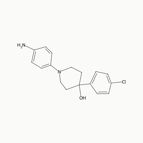 Nc1ccc(N2CCC(O)(c3ccc(Cl)cc3)CC2)cc1